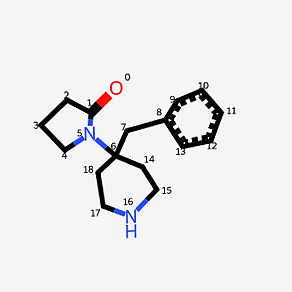 O=C1CCCN1C1(Cc2ccccc2)CCNCC1